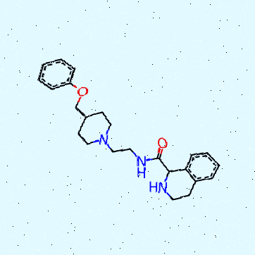 O=C(NCCN1CCC(COc2ccccc2)CC1)C1NCCc2ccccc21